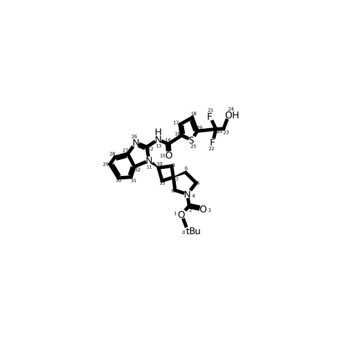 CC(C)(C)OC(=O)N1CC[C@]2(C1)C[C@H](n1c(NC(=O)c3ccc(C(F)(F)CO)s3)nc3ccccc31)C2